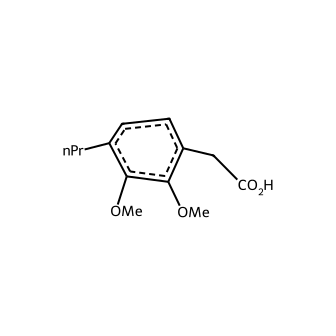 CCCc1ccc(CC(=O)O)c(OC)c1OC